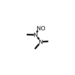 CN(C)N(C)N=O